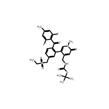 CCS(=O)(=O)Cc1ccc(C(=O)c2c(F)cc(C)cc2F)c(-c2cn(C)c(=O)cc2CNC(=O)OC(C)(C)C)c1